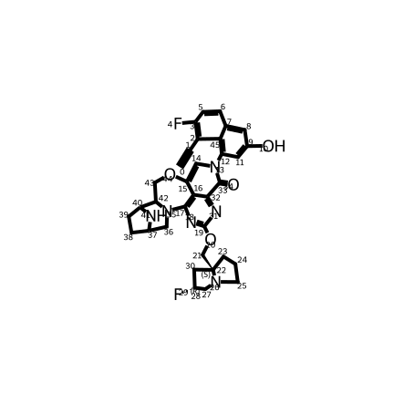 C#Cc1c(F)ccc2cc(O)cc(-n3cc4c5c(nc(OC[C@@]67CCCN6C[C@H](F)C7)nc5c3=O)N3CC5CCC(N5)C3CO4)c12